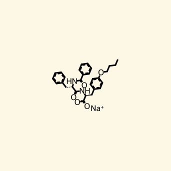 CCCCOc1ccc(C[C@H](NC(=O)[C@H](Cc2ccccc2)NC(=O)c2ccccc2)C(=O)[O-])cc1.[Na+]